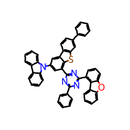 c1ccc(-c2ccc3c(c2)sc2c(-c4nc(-c5ccccc5)nc(-c5cccc6oc7ccccc7c56)n4)cc(-n4c5ccccc5c5ccccc54)cc23)cc1